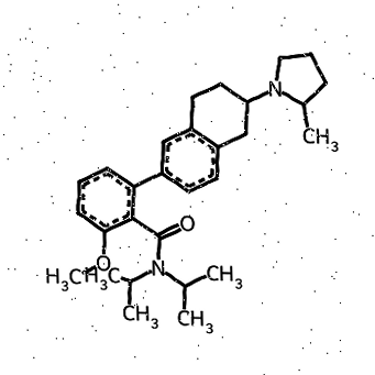 COc1cccc(-c2ccc3c(c2)CCC(N2CCCC2C)C3)c1C(=O)N(C(C)C)C(C)C